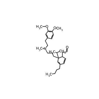 CCCCC1=CC(CCCN(C)CCc2ccc(OC)c(OC)c2)(C(C)C)C(CC=O)C=C1